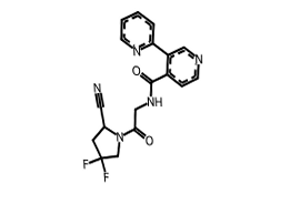 N#CC1CC(F)(F)CN1C(=O)CNC(=O)c1ccncc1-c1ccccn1